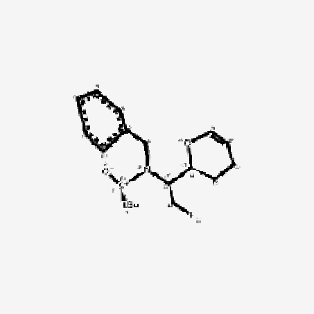 CC(C)(C)[S@@+]([O-])N(Cc1ccccc1)[C@H](CF)[C@@H]1CCC=CO1